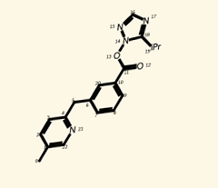 Cc1ccc(Cc2cccc(C(=O)On3ncnc3C(C)C)c2)nc1